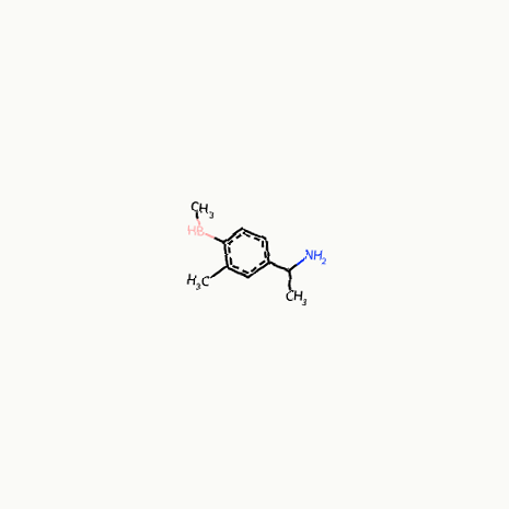 CBc1ccc(C(C)N)cc1C